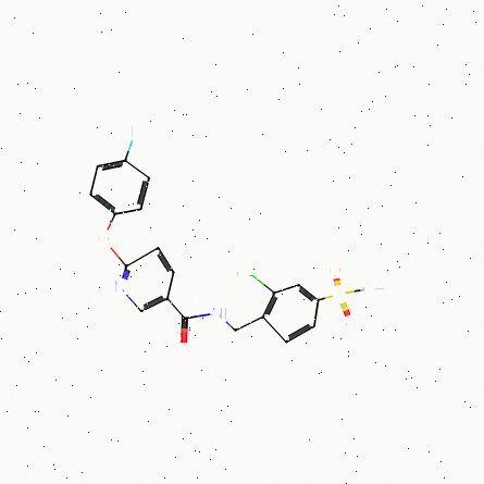 CS(=O)(=O)c1ccc(CNC(=O)c2ccc(Oc3ccc(F)cc3)nc2)c(Cl)c1